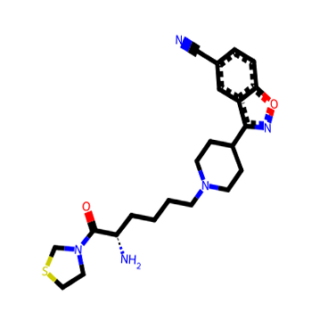 N#Cc1ccc2onc(C3CCN(CCCC[C@H](N)C(=O)N4CCSC4)CC3)c2c1